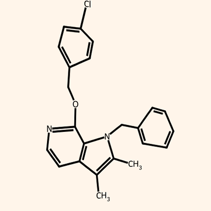 Cc1c(C)n(Cc2ccccc2)c2c(OCc3ccc(Cl)cc3)nccc12